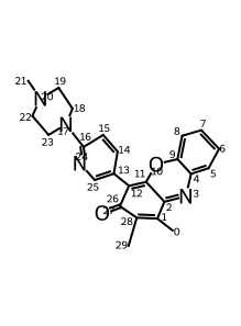 Cc1c2nc3ccccc3oc-2c(-c2ccc(N3CCN(C)CC3)nc2)c(=O)c1C